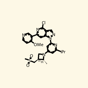 COc1ccncc1-c1cc2c(cnn2-c2cc(N3C[C@H](CS(C)(=O)=O)[C@H]3C)cc(C(C)C)n2)c(Cl)n1